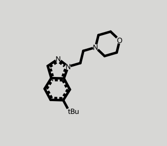 CC(C)(C)c1ccc2cnn(CCN3CCOCC3)c2c1